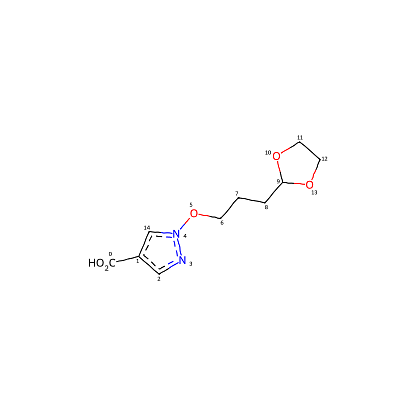 O=C(O)c1cnn(OCCCC2OCCO2)c1